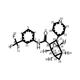 O=C(Nc1cccc(C(F)(F)F)c1)[C@@H]1[C@@H]2O[C@@H]([C@H]3C[C@H]32)[C@@H]1c1ccncc1